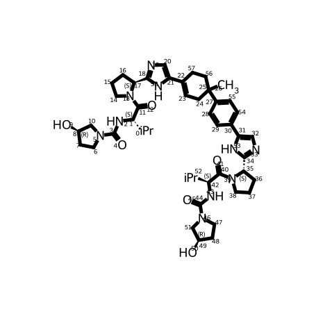 CC(C)[C@H](NC(=O)N1CC[C@@H](O)C1)C(=O)N1CCC[C@H]1c1ncc(C2=CCC(C)(c3ccc(-c4cnc([C@@H]5CCCN5C(=O)[C@@H](NC(=O)N5CC[C@@H](O)C5)C(C)C)[nH]4)cc3)CC2)[nH]1